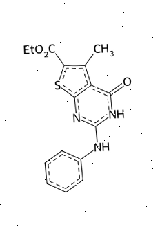 CCOC(=O)c1sc2nc(Nc3ccccc3)[nH]c(=O)c2c1C